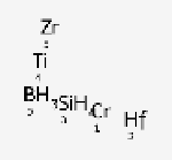 B.[Cr].[Hf].[SiH4].[Ti].[Zr]